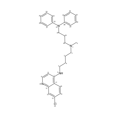 CN(CCCCNc1ccnc2cc(Cl)ccc12)CCCN(c1ccccc1)c1ccccc1